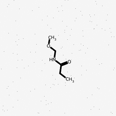 CCC(=O)NCOC